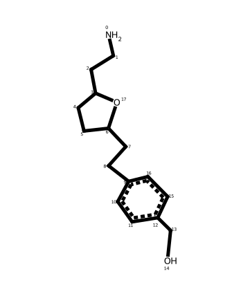 NCCC1CCC(CCc2ccc(CO)cc2)O1